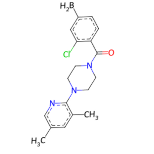 Bc1ccc(C(=O)N2CCN(c3ncc(C)cc3C)CC2)c(Cl)c1